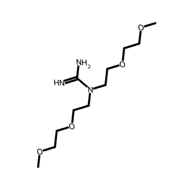 COCCOCCN(CCOCCOC)C(=N)N